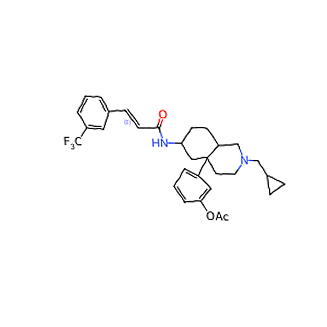 CC(=O)Oc1cccc(C23CCN(CC4CC4)CC2CCC(NC(=O)/C=C/c2cccc(C(F)(F)F)c2)C3)c1